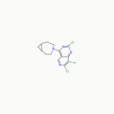 Fc1c(Cl)ncc2c(N3CCC4CC4CC3)nc(Cl)nc12